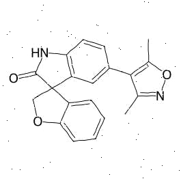 Cc1noc(C)c1-c1ccc2c(c1)C1(COc3ccccc31)C(=O)N2